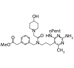 CCCCCNc1nc(N)nc(C)c1CCCN(Cc1cccc(CC(=O)OC)c1)C(=O)CN1CCC(O)CC1